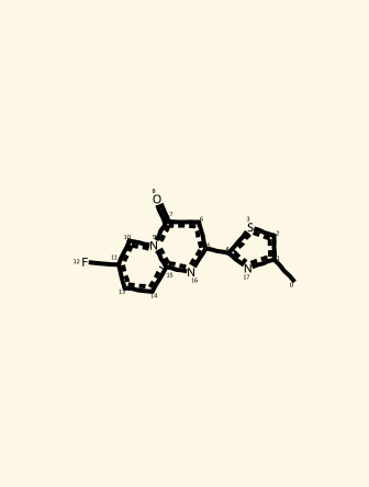 Cc1csc(-c2cc(=O)n3cc(F)ccc3n2)n1